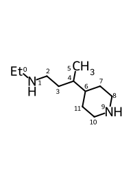 CCNCCC(C)C1CCNCC1